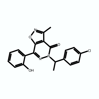 Cc1noc2c(-c3ccccc3O)nn(C(C)c3ccc(Cl)cc3)c(=O)c12